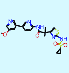 COc1cncc(-c2ccc(NC(=O)C(C)(C)c3csc(NS(=O)(=O)C4CC4)n3)nc2)c1